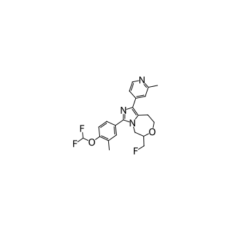 Cc1cc(-c2nc(-c3ccc(OC(F)F)c(C)c3)n3c2CCOC(CF)C3)ccn1